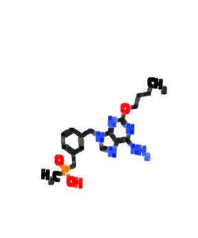 CCCCOc1nc(N)c2ncn(Cc3cccc(CP(C)(=O)O)c3)c2n1